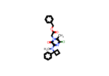 Cc1c(Cl)nc(N(C)C2(c3ccccc3)CCC2)c(=O)n1CC(=O)OCc1ccccc1